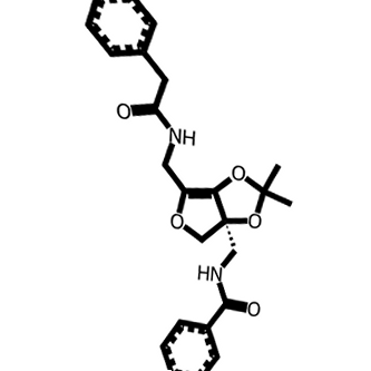 CC1(C)OC2=C(CNC(=O)Cc3ccccc3)OC[C@]2(CNC(=O)c2ccccc2)O1